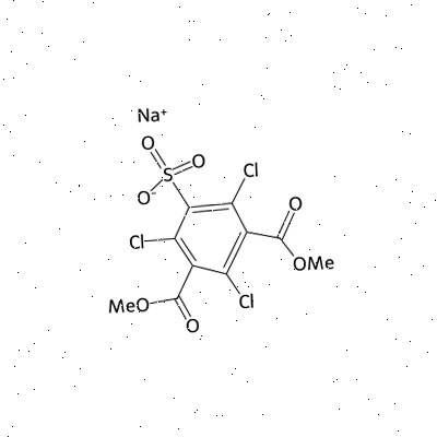 COC(=O)c1c(Cl)c(C(=O)OC)c(Cl)c(S(=O)(=O)[O-])c1Cl.[Na+]